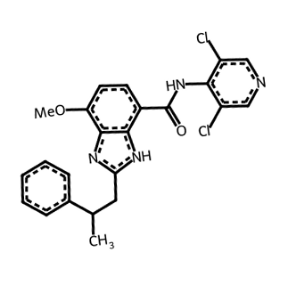 COc1ccc(C(=O)Nc2c(Cl)cncc2Cl)c2[nH]c(CC(C)c3ccccc3)nc12